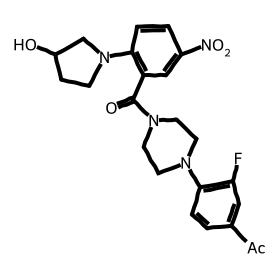 CC(=O)c1ccc(N2CCN(C(=O)c3cc([N+](=O)[O-])ccc3N3CCC(O)C3)CC2)c(F)c1